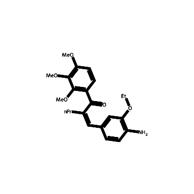 CCCC(=Cc1ccc(N)c(OCC)c1)C(=O)c1ccc(OC)c(OC)c1OC